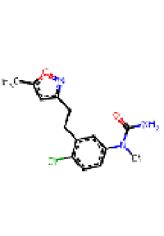 CCN(C(N)=O)c1ccc(Cl)c(CCc2cc(C)on2)c1